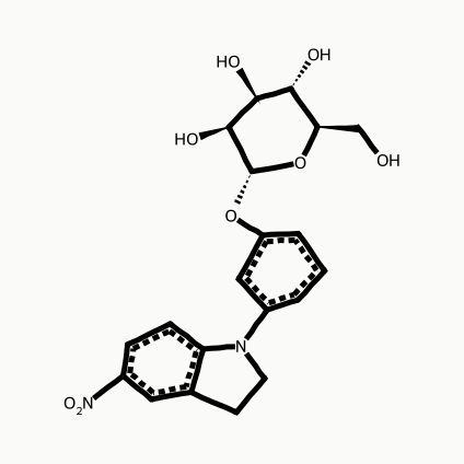 O=[N+]([O-])c1ccc2c(c1)CCN2c1cccc(O[C@H]2O[C@H](CO)[C@@H](O)[C@H](O)[C@@H]2O)c1